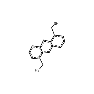 SCc1cccc2cc3c(CS)cccc3cc12